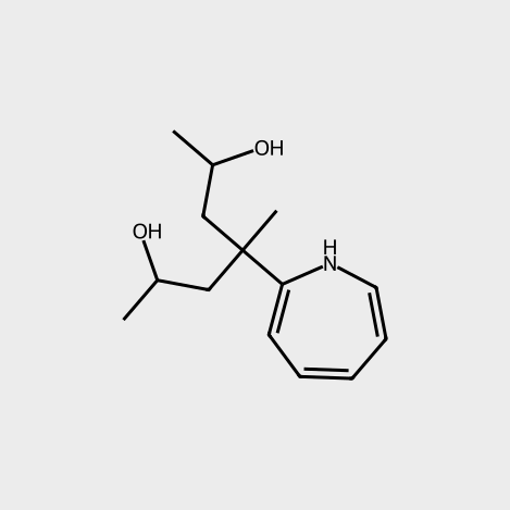 CC(O)CC(C)(CC(C)O)C1=CC=CC=CN1